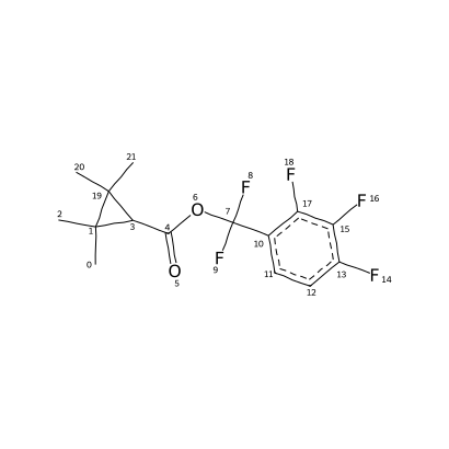 CC1(C)C(C(=O)OC(F)(F)c2ccc(F)c(F)c2F)C1(C)C